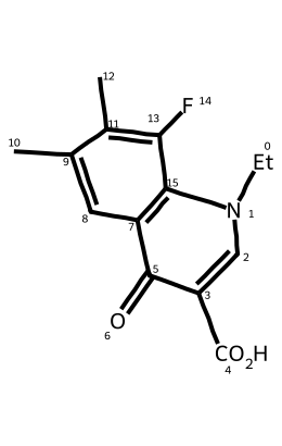 CCn1cc(C(=O)O)c(=O)c2cc(C)c(C)c(F)c21